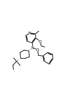 CCOc1c(N(OCc2ccccc2)[C@H]2CC[C@@H](C(C)(C)CC)CC2)ccnc1C